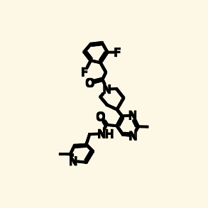 Cc1cc(CNC(=O)c2cnc(C)nc2C2CCN(C(=O)Cc3c(F)cccc3F)CC2)ccn1